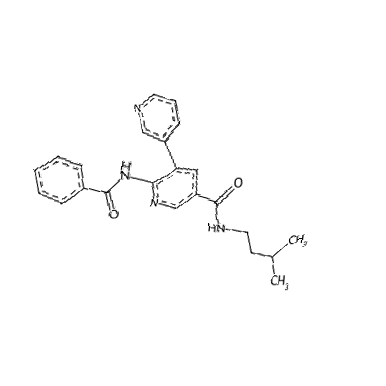 CC(C)CCNC(=O)c1cnc(NC(=O)c2ccccc2)c(-c2cccnc2)c1